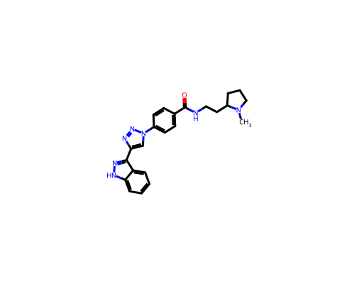 CN1CCCC1CCNC(=O)c1ccc(-n2cc(-c3n[nH]c4ccccc34)nn2)cc1